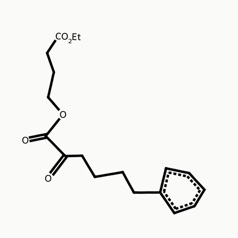 CCOC(=O)CCCOC(=O)C(=O)CCCCc1ccccc1